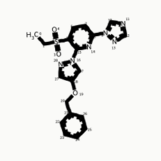 CCS(=O)(=O)c1ccc(-n2cncn2)nc1-n1cc(OCc2ccccc2)cn1